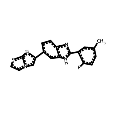 Cc1ccc(F)c(-c2nc3ccc(-c4cn5ccsc5n4)cc3[nH]2)c1